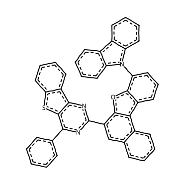 c1ccc(-c2nc(-c3cc4ccccc4c4c3oc3c(-n5c6ccccc6c6ccccc65)cccc34)nc3c2sc2ccccc23)cc1